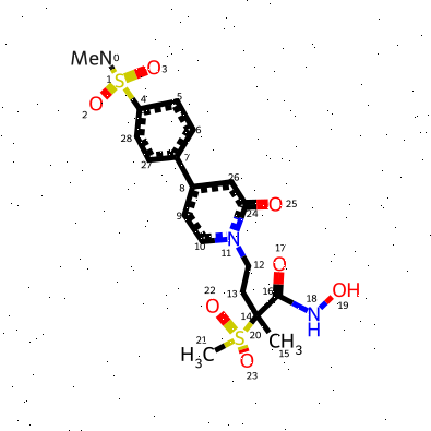 CNS(=O)(=O)c1ccc(-c2ccn(CCC(C)(C(=O)NO)S(C)(=O)=O)c(=O)c2)cc1